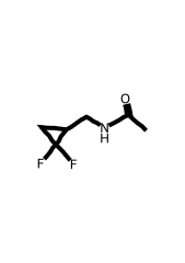 CC(=O)NCC1CC1(F)F